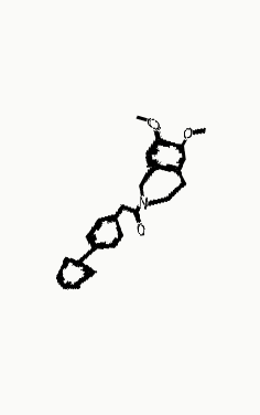 COc1cc2c(cc1OC)CN(C(=O)Cc1ccc(-c3ccccc3)cc1)CC2